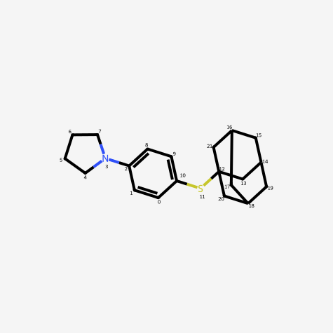 c1cc(N2CCCC2)ccc1SC12CC3CC(CC(C3)C1)C2